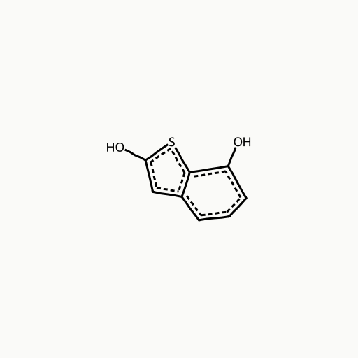 Oc1cc2cccc(O)c2s1